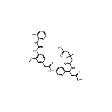 COC(=O)CC(NC(=O)CC(C)(C)CC(=O)O)c1ccc(NC(=O)Cc2ccc(NC(=O)Nc3ccccc3C)c(OC)c2)cc1